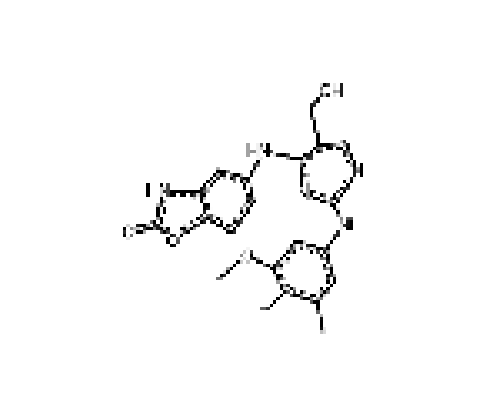 COc1cc(Nc2ncc(CO)c(Nc3ccc4oc(=O)[nH]c4c3)n2)cc(C)c1F